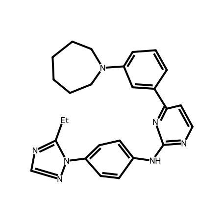 CCc1ncnn1-c1ccc(Nc2nccc(-c3cccc(N4CCCCCC4)c3)n2)cc1